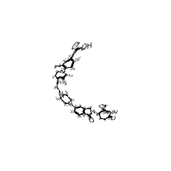 O=C1CC[C@H](N2Cc3cc(N4CCN(CC5CCN(c6ccc(C(=O)O)cc6F)CC5)CC4)ccc3C2=O)C(=O)N1